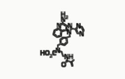 C=C(C)C(=O)NCCN(Cc1ccc(Cn2c(-c3cnccn3)nc3c(N)nc4ccccc4c32)cc1)C(=O)O